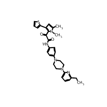 CCc1cccc(N2CCN(c3ccc(NC(=O)C(=O)c4c(-c5cccs5)cc(C)n4C)cc3)CC2)n1